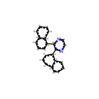 c1ccc2c(-c3nccnc3-c3cccc4ccccc34)cccc2c1